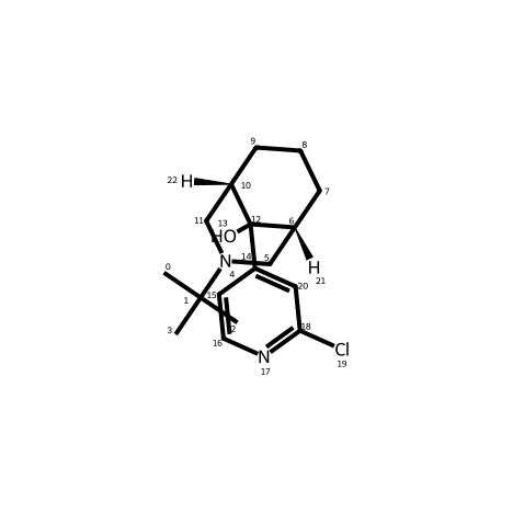 CC(C)(C)N1C[C@H]2CCC[C@@H](C1)C2(O)c1ccnc(Cl)c1